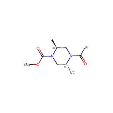 CC[C@@H]1CN(C(=O)OC(C)(C)C)[C@@H](C)CN1C(=O)C(C)C